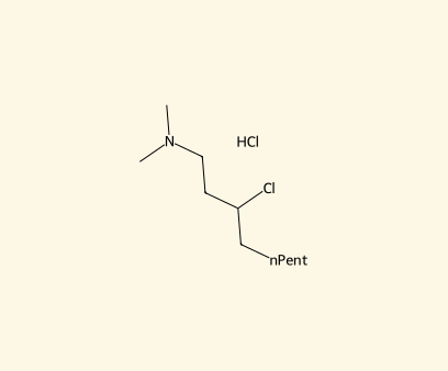 CCCCCCC(Cl)CCN(C)C.Cl